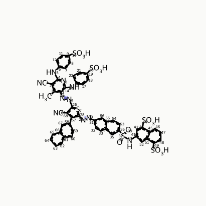 Cc1c(C#N)c(Nc2ccc(S(=O)(=O)O)cc2)nc(Nc2ccc(S(=O)(=O)O)cc2)c1/N=N/c1sc(/N=N/c2ccc3cc(S(=O)(=O)Nc4cc(S(=O)(=O)O)c5cccc(S(=O)(=O)O)c5c4)ccc3c2)c(-c2ccc3ccccc3c2)c1C#N